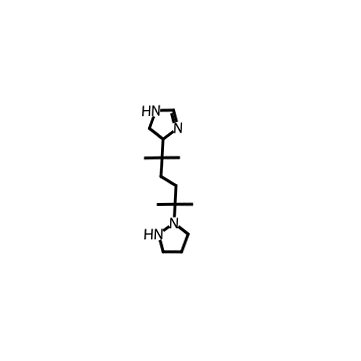 CC(C)(CCC(C)(C)N1CCCN1)C1CNC=N1